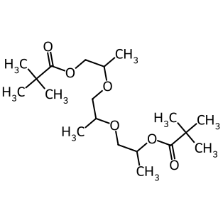 CC(COC(=O)C(C)(C)C)OCC(C)OCC(C)OC(=O)C(C)(C)C